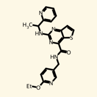 CCOc1ccc(CNC(=O)c2nc(NC(C)c3ccccn3)nc3ccsc23)cn1